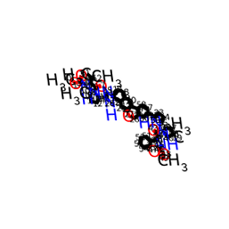 COC(=O)N[C@H](C(=O)N1[C@@H](C)CC[C@H]1c1nc2ccc3cc4c(cc3c2[nH]1)OCc1cc(-c2ccc([C@@H]3C[C@H](C)CN3C(=O)[C@H](NC(=O)OC)c3ccccc3)[nH]2)ccc1-4)C(C)C